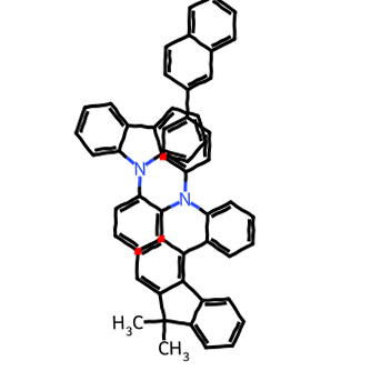 CC1(C)c2ccccc2-c2c(-c3ccccc3N(c3ccc(-c4ccc5ccccc5c4)cc3)c3ccccc3-n3c4ccccc4c4ccccc43)cccc21